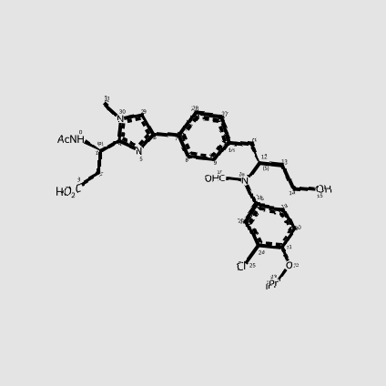 CC(=O)N[C@H](CC(=O)O)c1nc(-c2ccc(C[C@@H](CCO)N(C=O)c3ccc(OC(C)C)c(Cl)c3)cc2)cn1C